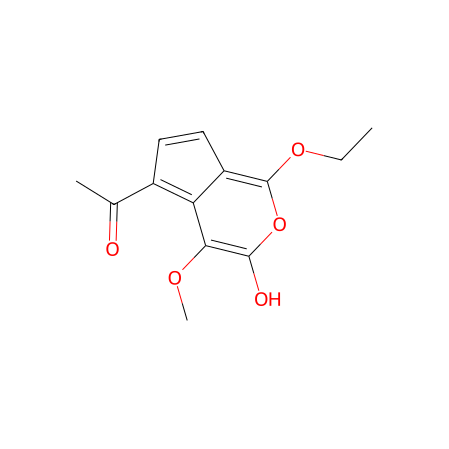 CCOc1oc(O)c(OC)c2c(C(C)=O)ccc1-2